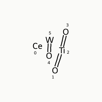 [Ce].[O]=[Ti]=[O].[O]=[W]